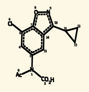 CC(=O)N(C(=O)O)c1cc(Cl)c2onc(C3CC3)c2c1